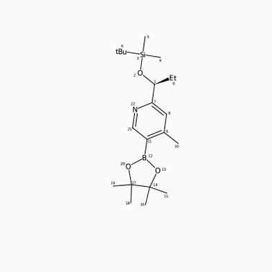 CC[C@H](O[Si](C)(C)C(C)(C)C)c1cc(C)c(B2OC(C)(C)C(C)(C)O2)cn1